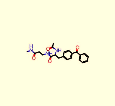 CNC(=O)CCNC(=O)C(Cc1ccc(C(=O)c2ccccc2)cc1)NC(C)=O